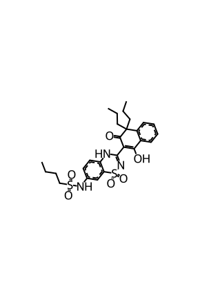 CCCCS(=O)(=O)Nc1ccc2c(c1)S(=O)(=O)N=C(C1=C(O)c3ccccc3C(CCC)(CCC)C1=O)N2